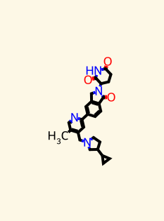 Cc1cnc(-c2ccc3c(c2)CN(C2CCC(=O)NC2=O)C3=O)cc1CN1CCC(C2CC2)C1